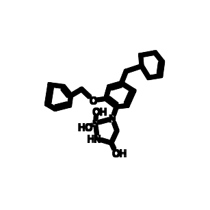 OC1CN(c2ccc(CC3CC=CCC3)cc2OCc2ccccc2)S(O)(O)N1